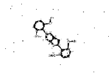 COc1cccc(OC(C)C)c1-c1cc2cc(-c3c(OC)cccc3OC(C)C)sc2s1